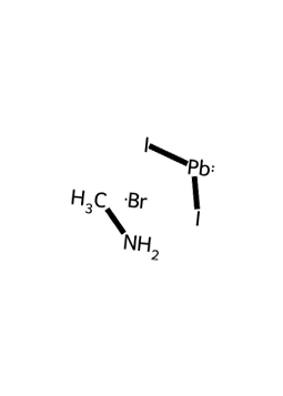 CN.[Br].[I][Pb][I]